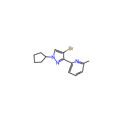 Cc1cccc(-c2nn(C3CCCC3)cc2Br)n1